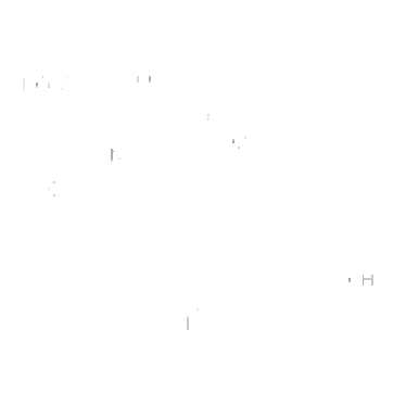 Cc1cc(C)c2c(=O)c(N(Cl)C(=O)C(=O)O)coc2c1